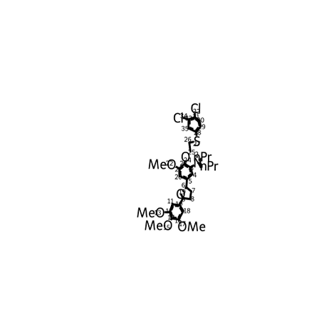 CCCN(CCC)c1cc(C2CCC(c3cc(OC)c(OC)c(OC)c3)O2)cc(OC)c1OCCSc1ccc(Cl)c(Cl)c1